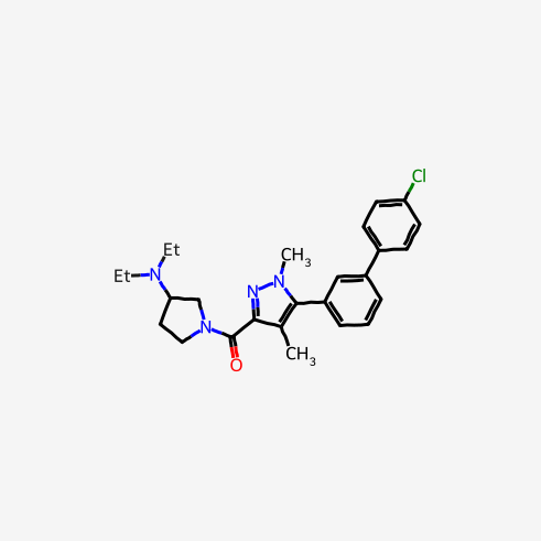 CCN(CC)C1CCN(C(=O)c2nn(C)c(-c3cccc(-c4ccc(Cl)cc4)c3)c2C)C1